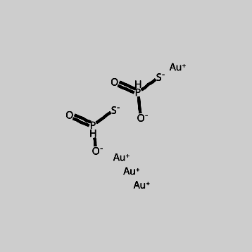 O=[PH]([O-])[S-].O=[PH]([O-])[S-].[Au+].[Au+].[Au+].[Au+]